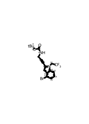 CC(C)(C)OC(=O)NCC#Cc1cc2c(Br)cccc2n1CC(F)(F)F